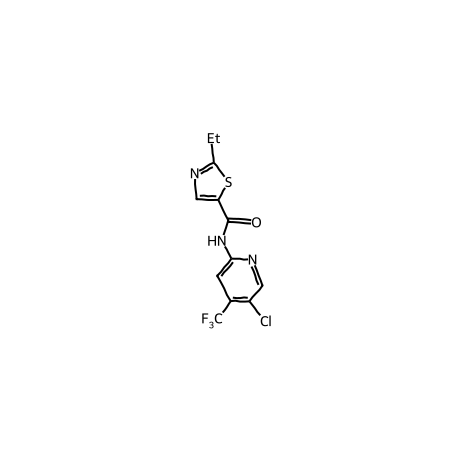 CCc1ncc(C(=O)Nc2cc(C(F)(F)F)c(Cl)cn2)s1